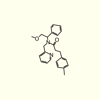 COCC(c1ccccc1)N(Cc1ccccn1)C(=O)CCc1ccc(C)cc1